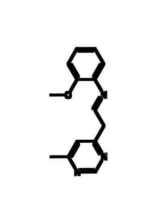 COc1ccccc1N=CCc1cc(C)ncn1